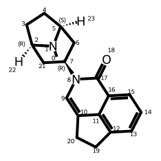 CN1[C@@H]2CC[C@H]1C[C@@H](n1cc3c4c(cccc4c1=O)CC3)C2